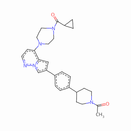 CC(=O)N1CCC(c2ccc(-c3cc4c(N5CCN(C(=O)C6CC6)CC5)ccnn4c3)cc2)CC1